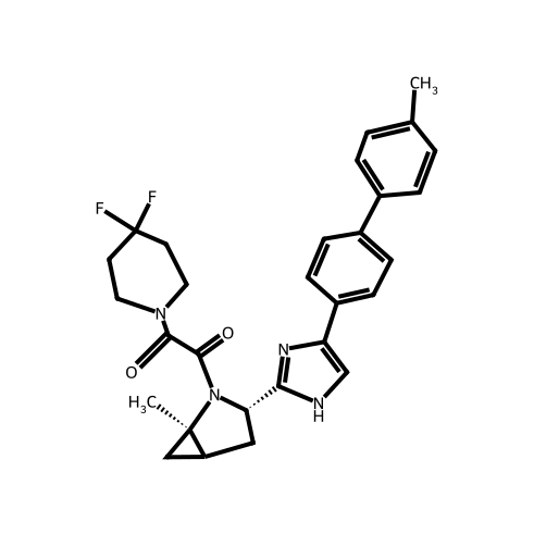 Cc1ccc(-c2ccc(-c3c[nH]c([C@@H]4CC5C[C@@]5(C)N4C(=O)C(=O)N4CCC(F)(F)CC4)n3)cc2)cc1